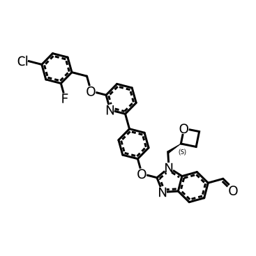 O=Cc1ccc2nc(Oc3ccc(-c4cccc(OCc5ccc(Cl)cc5F)n4)cc3)n(C[C@@H]3CCO3)c2c1